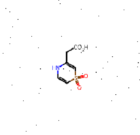 O=C(O)CC1=CS(=O)(=O)C=CN1